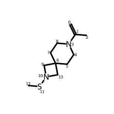 C=C(C)N1CCC2(CC1)CN(SC)C2